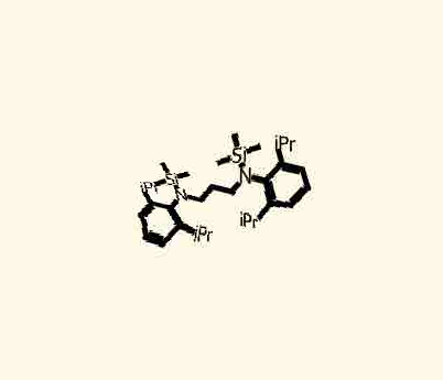 CC(C)c1cccc(C(C)C)c1N(CCCN(c1c(C(C)C)cccc1C(C)C)[Si](C)(C)C)[Si](C)(C)C